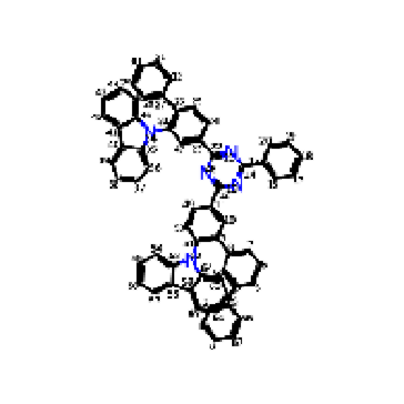 c1ccc(-c2cccc(-c3cc(-c4nc(-c5ccccc5)nc(-c5ccc(-c6ccccc6)c(-n6c7ccccc7c7ccccc76)c5)n4)ccc3-n3c4ccccc4c4ccccc43)c2)cc1